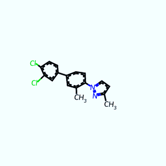 Cc1ccn(-c2ccc(-c3ccc(Cl)c(Cl)c3)cc2C)n1